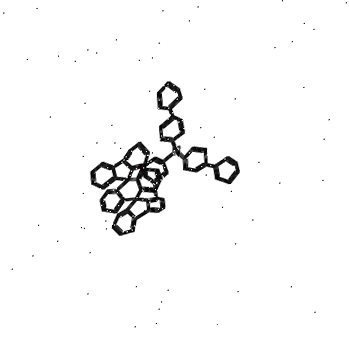 c1ccc(-c2ccc(N(c3ccc(-c4ccccc4)cc3)c3cccc(-c4cccc5c4C4(c6ccccc6-5)c5ccccc5C5(c6ccccc6-c6ccccc65)c5ccccc54)c3)cc2)cc1